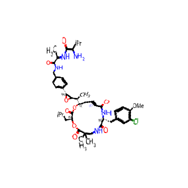 COc1ccc(C[C@H]2NC(=O)/C=C/C[C@@H](C(C)C3O[C@@H]3c3ccc(CNC(=O)C(C)NC(=O)C(N)C(C)C)cc3)OC(=O)[C@H](CC(C)C)OC(=O)C(C)(C)CNC2=O)cc1Cl